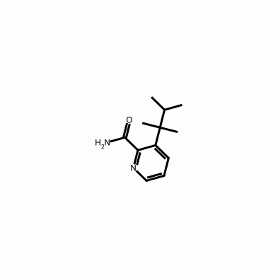 CC(C)C(C)(C)c1cccnc1C(N)=O